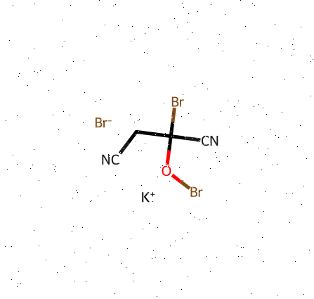 N#CCC(Br)(C#N)OBr.[Br-].[K+]